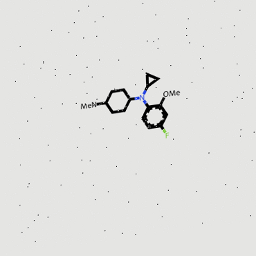 CNC1CCC(N(c2ccc(F)cc2OC)C2CC2)CC1